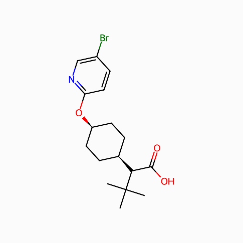 CC(C)(C)C(C(=O)O)[C@H]1CC[C@@H](Oc2ccc(Br)cn2)CC1